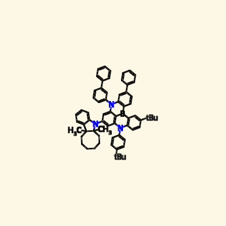 CC(C)(C)c1ccc(N2c3ccc(C(C)(C)C)cc3B3c4ccc(-c5ccccc5)cc4N(c4cccc(-c5ccccc5)c4)c4cc(N5c6ccccc6C6(C)CCCCCCC56C)cc2c43)cc1